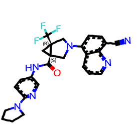 N#Cc1ccc(N2C[C@]3(C(=O)Nc4ccc(N5CCCC5)nc4)C[C@]3(C(F)(F)F)C2)c2cccnc12